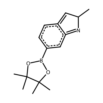 CC1C=c2ccc(B3OC(C)(C)C(C)(C)O3)cc2=N1